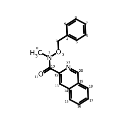 CN(OCc1ccccc1)C(=O)c1cc2ccccc2cn1